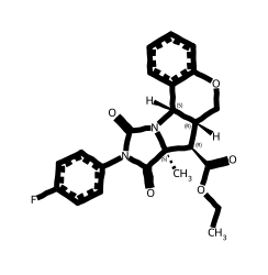 CCOC(=O)[C@@H]1[C@H]2COc3ccccc3[C@H]2N2C(=O)N(c3ccc(F)cc3)C(=O)[C@]12C